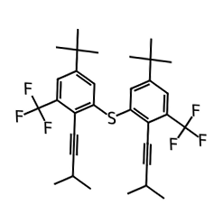 CC(C)C#Cc1c(Sc2cc(C(C)(C)C)cc(C(F)(F)F)c2C#CC(C)C)cc(C(C)(C)C)cc1C(F)(F)F